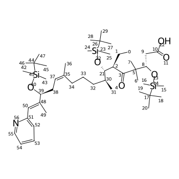 CC[C@@H](C(=O)C(C)(C)[C@H](CC(=O)O)O[Si](C)(C)C(C)(C)C)[C@@H](O[Si](C)(C)C(C)(C)C)[C@@H](C)CCC/C(C)=C\C[C@H](O[Si](C)(C)C(C)(C)C)/C(C)=C/c1ccccn1